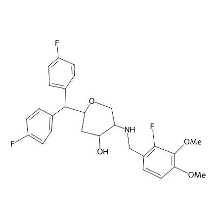 COc1ccc(CNC2COC(C(c3ccc(F)cc3)c3ccc(F)cc3)CC2O)c(F)c1OC